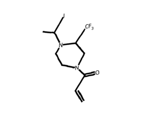 C=CC(=O)N1CCN(C(C)I)C(C(F)(F)F)C1